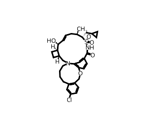 C[C@@H]1C/C=C/[C@H](O)[C@@H]2CC[C@H]2CN2CCCCc3cc(Cl)ccc3COc3ccc(cc32)C(=O)NS(=O)(=O)[C@H]1CC1CC1